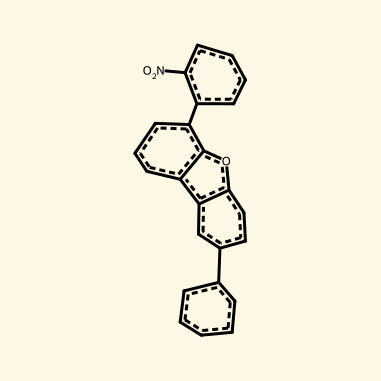 O=[N+]([O-])c1ccccc1-c1cccc2c1oc1ccc(-c3ccccc3)cc12